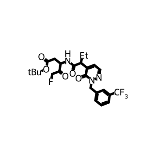 CCC(C(=O)NC(CC(=O)OC(C)(C)C)C(=O)CF)c1ccnn(Cc2cccc(C(F)(F)F)c2)c1=O